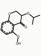 CC(C)OC1COc2cccc(OO)c2C1=O